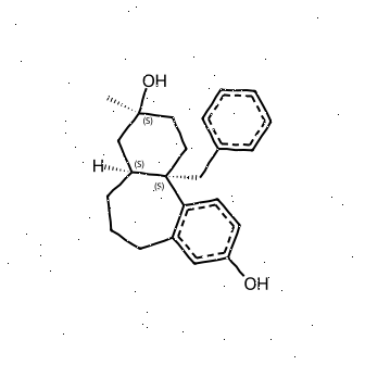 C[C@]1(O)CC[C@@]2(Cc3ccccc3)c3ccc(O)cc3CCC[C@H]2C1